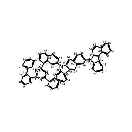 c1ccc(-c2nc(-c3ccccc3-c3ccccc3)nc(-c3cccc4ccc(-n5c6ccccc6c6cc7cc(-n8c9ccccc9c9c%10ccccc%10ccc98)ccc7cc65)cc34)n2)cc1